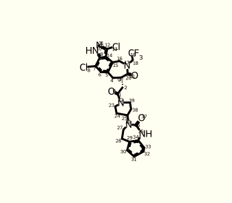 O=C(C[C@@H]1Cc2cc(Cl)c3[nH]nc(Cl)c3c2CN(CC(F)(F)F)C1=O)N1CCC(N2CCc3ccccc3NC2=O)CC1